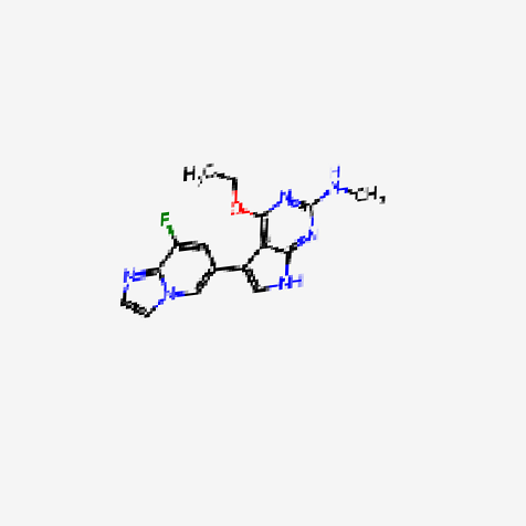 CCOc1nc(NC)nc2[nH]cc(-c3cc(F)c4nccn4c3)c12